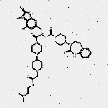 Cc1cc(C[C@@H](OC(=O)N2CCC(N3CCc4ccccc4NC3=O)CC2)C(=O)N2CCN(C3CCN(CC(=O)OCCN(C)C)CC3)CC2)cc2oc(=O)n(C)c12